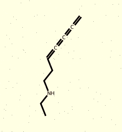 C=C=C=C=CCCNCC